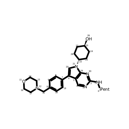 CCCC(C)Nc1ncc2c(-c3ccc(CN4CCOCC4)cc3)cn([C@H]3CC[C@H](O)CC3)c2n1